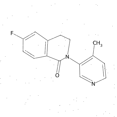 Cc1ccncc1N1CCc2cc(F)ccc2C1=O